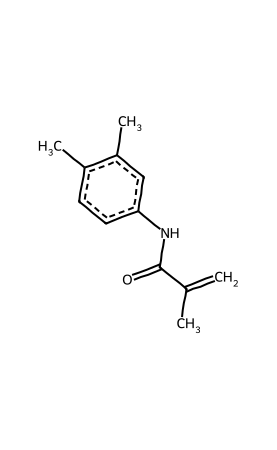 C=C(C)C(=O)Nc1ccc(C)c(C)c1